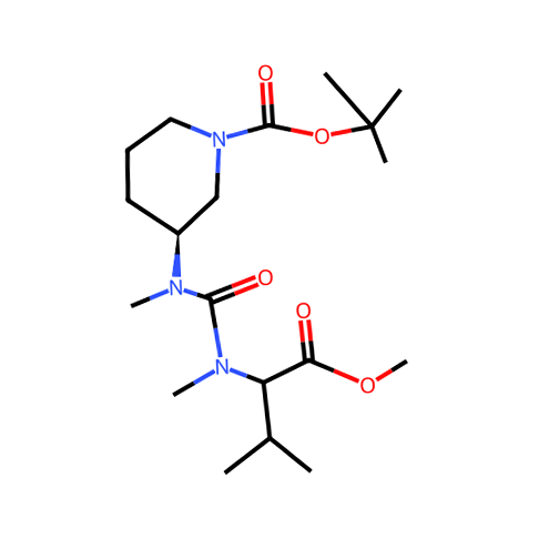 COC(=O)C(C(C)C)N(C)C(=O)N(C)[C@H]1CCCN(C(=O)OC(C)(C)C)C1